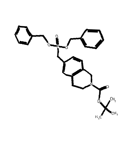 CC(C)(C)OC(=O)N1CCc2cc(CP(=O)(OCc3ccccc3)OCc3ccccc3)ccc2C1